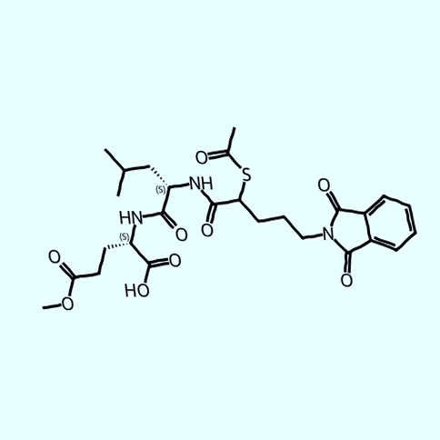 COC(=O)CC[C@H](NC(=O)[C@H](CC(C)C)NC(=O)C(CCCN1C(=O)c2ccccc2C1=O)SC(C)=O)C(=O)O